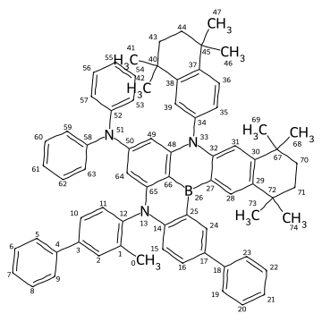 Cc1cc(-c2ccccc2)ccc1N1c2ccc(-c3ccccc3)cc2B2c3cc4c(cc3N(c3ccc5c(c3)C(C)(C)CCC5(C)C)c3cc(N(c5ccccc5)c5ccccc5)cc1c32)C(C)(C)CCC4(C)C